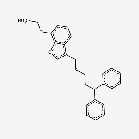 O=C(O)COc1cccc2c(CSCCC(c3ccccc3)c3ccccc3)coc12